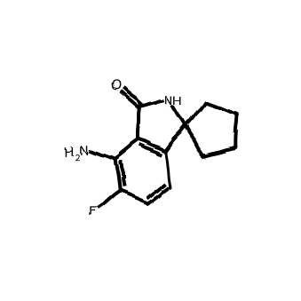 Nc1c(F)ccc2c1C(=O)NC21CCCC1